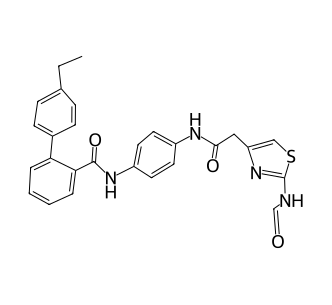 CCc1ccc(-c2ccccc2C(=O)Nc2ccc(NC(=O)Cc3csc(NC=O)n3)cc2)cc1